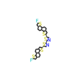 Fc1cc2ccc3c(ccc4cc(-c5cnc(-c6ncc(-c7cc8ccc9c(ccc%10cc(F)sc%109)c8s7)s6)s5)sc43)c2s1